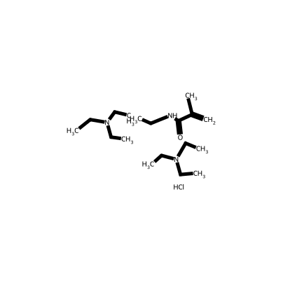 C=C(C)C(=O)NCC.CCN(CC)CC.CCN(CC)CC.Cl